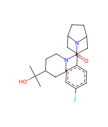 CC(C)(O)C1CCN(C(=O)N2C3CCC2CC(c2ccc(F)cc2)C3)CC1